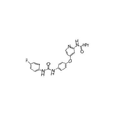 CCCC(=O)Nc1cc(Oc2ccc(NC(=O)Nc3ccc(F)cc3)cc2)ccn1